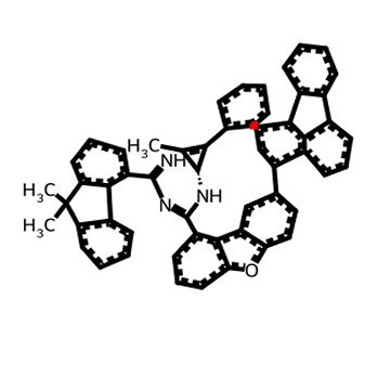 CC1=C(c2ccccc2)[C@@H]1N/C(=N\C(=N)c1cccc2c1-c1ccccc1C2(C)C)c1cccc2oc3ccc(-c4ccc5c6c(cccc46)-c4ccccc4-5)cc3c12